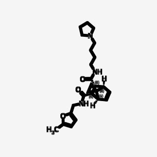 Cc1ccc(CNC(=O)[C@H]2[C@H](C(=O)NCCCCN3CCCC3)[C@H]3C=C[C@@H]2C32CC2)o1